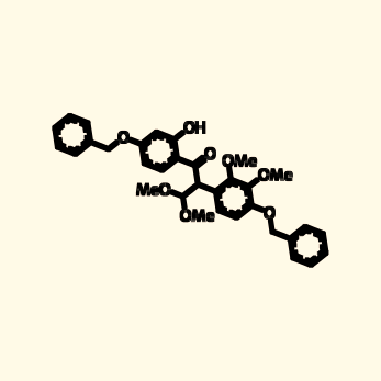 COc1c(OCc2ccccc2)ccc(C(C(=O)c2ccc(OCc3ccccc3)cc2O)C(OC)OC)c1OC